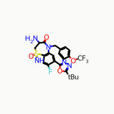 CC(C)(C)c1nnc(-c2cc3c(cc2F)S(=N)(=O)CC(N)C(=O)N3Cc2ccc(OC(F)(F)F)cc2)o1